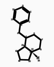 c1ccc(CC2CCC[C@H]3CCCN23)cc1